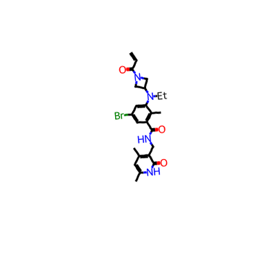 C=CC(=O)N1CC(N(CC)c2cc(Br)cc(C(=O)NCc3c(C)cc(C)[nH]c3=O)c2C)C1